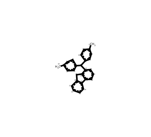 Cc1ccc(C(c2ccc(C)cc2)c2cccc3c2Cc2ccccc2-3)cc1